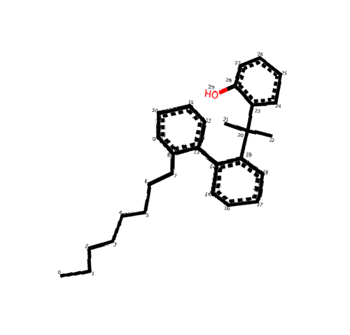 CCCCCCCCc1ccccc1-c1ccccc1C(C)(C)c1ccccc1O